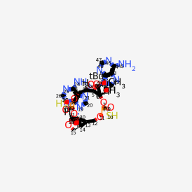 CC(C)(C)[Si](C)(C)OC1[C@H]2O[P@](=O)(S)OCC3[C@@]45CO[C@@H]([C@H](n6cnc7c(N)ncnc76)O4)[C@@]35O[P@@](=O)(S)OC[C@H]1O[C@H]2n1cnc2c(N)ncnc21